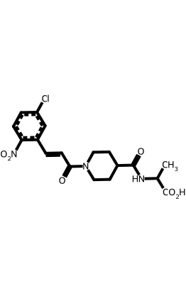 CC(NC(=O)C1CCN(C(=O)/C=C/c2cc(Cl)ccc2[N+](=O)[O-])CC1)C(=O)O